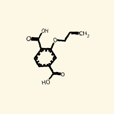 C=CCOc1cc(C(=O)O)ccc1C(=O)O